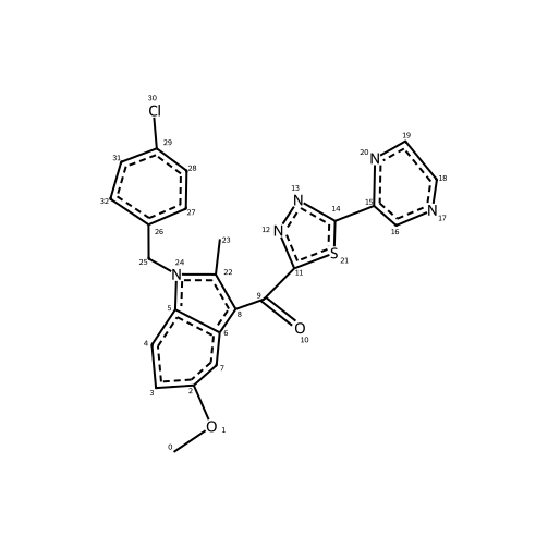 COc1ccc2c(c1)c(C(=O)c1nnc(-c3cnccn3)s1)c(C)n2Cc1ccc(Cl)cc1